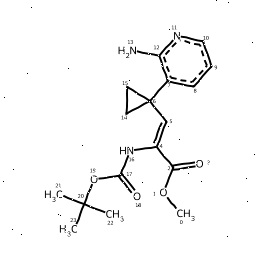 COC(=O)/C(=C/C1(c2cccnc2N)CC1)NC(=O)OC(C)(C)C